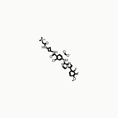 COc1ccc(-c2cnc3c(Nc4ccc(C(=O)NC5CC(NC(=O)C[N+](C)(C)C)C5)c(Cl)c4)nccn23)c(F)c1F.O=C[O-]